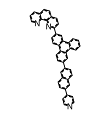 c1cnc2c(c1)ccc1ccc(-c3ccc4c5ccc(-c6ccc7cc(-c8ccncc8)ccc7c6)cc5c5ccccc5c4c3)nc12